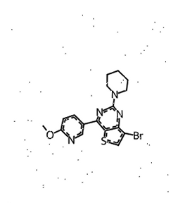 COc1ccc(-c2nc(N3CCCCC3)nc3c(Br)csc23)cn1